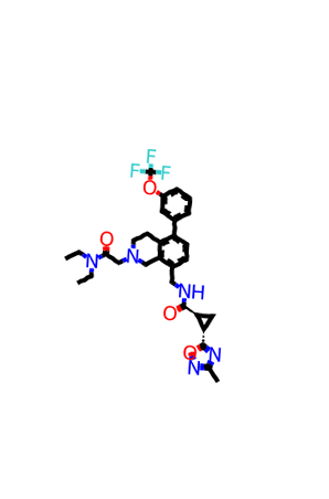 CCN(CC)C(=O)CN1CCc2c(-c3cccc(OC(F)(F)F)c3)ccc(CNC(=O)[C@H]3C[C@@H]3c3nc(C)no3)c2C1